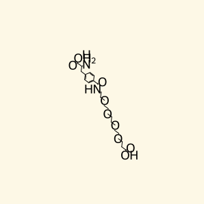 NC(Cc1ccc(C(=O)NCCOCCOCCOCCOCCC(=O)O)cc1)C(=O)O